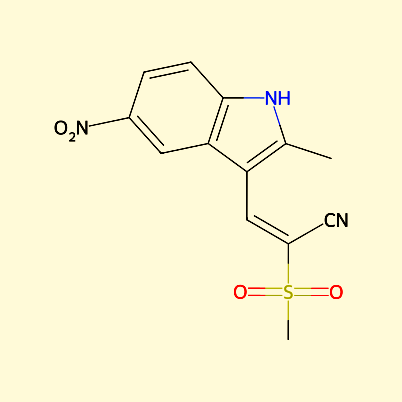 Cc1[nH]c2ccc([N+](=O)[O-])cc2c1/C=C(\C#N)S(C)(=O)=O